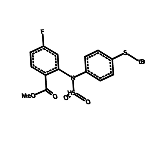 COC(=O)c1ccc(F)cc1N(c1ccc(SC(C)(C)C)cc1)[SH](=O)=O